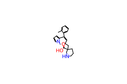 Cc1ccccc1C(=CCCC1(C(=O)O)CCCNC1)c1cccn1C